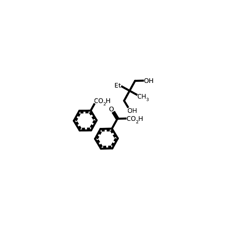 CCC(C)(CO)CO.O=C(O)C(=O)c1ccccc1.O=C(O)c1ccccc1